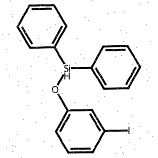 Ic1cccc(O[SiH](c2ccccc2)c2ccccc2)c1